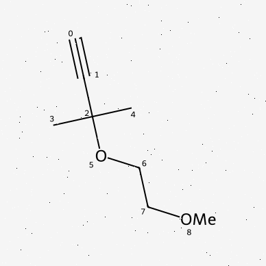 [C]#CC(C)(C)OCCOC